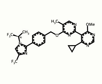 COc1ncnc(C2CC2)c1-c1ncc(C)c(OCc2ccc(-c3nc(C(F)(F)F)cn3[C@H](C)C(F)(F)F)cc2)n1